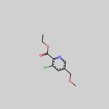 CCOC(=O)c1ncc(COC)cc1Cl